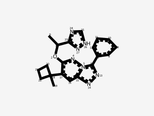 CC(Oc1nn2c(-c3ccccc3)nnc2cc1C1(C)CCC1)c1nc[nH]n1